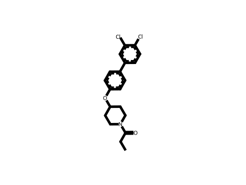 CCC(=O)N1CCC(Oc2ccc(-c3ccc(Cl)c(Cl)c3)cc2)CC1